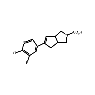 O=C(O)N1CC2C=C(c3cnc(Cl)c(F)c3)CC2C1